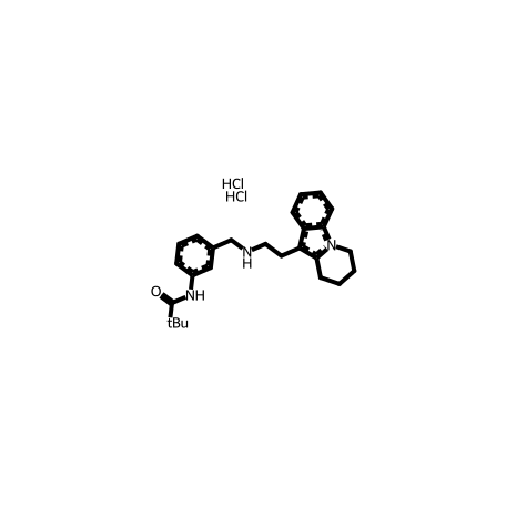 CC(C)(C)C(=O)Nc1cccc(CNCCc2c3n(c4ccccc24)CCCC3)c1.Cl.Cl